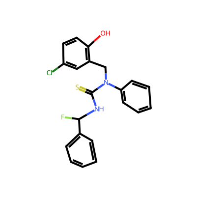 Oc1ccc(Cl)cc1CN(C(=S)NC(F)c1ccccc1)c1ccccc1